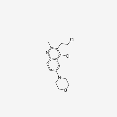 Cc1nc2ccc(N3CCOCC3)cc2c(Cl)c1CCCl